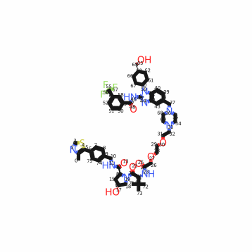 Cc1ncsc1-c1ccc(CNC(=O)[C@@H]2C[C@@H](O)CN2C(=O)[C@@H](NC(=O)COCCOCCN2CCN(Cc3ccc4c(c3)nc(NC(=O)c3cccc(C(F)(F)F)c3)n4[C@H]3CC[C@@H](CO)CC3)CC2)C(C)(C)C)cc1